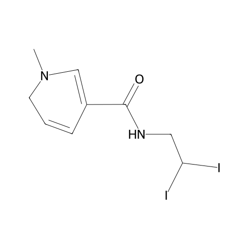 CN1C=C(C(=O)NCC(I)I)C=CC1